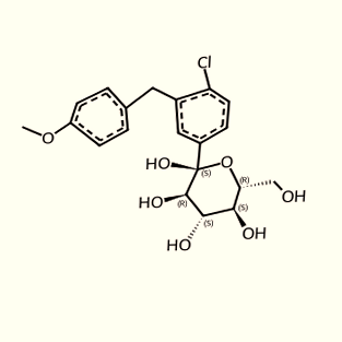 COc1ccc(Cc2cc([C@]3(O)O[C@H](CO)[C@@H](O)[C@H](O)[C@H]3O)ccc2Cl)cc1